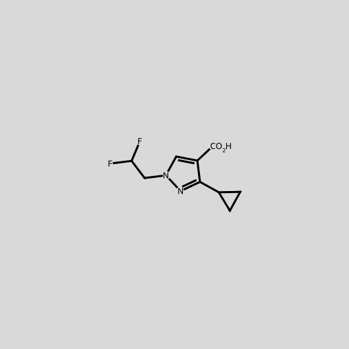 O=C(O)c1cn(CC(F)F)nc1C1CC1